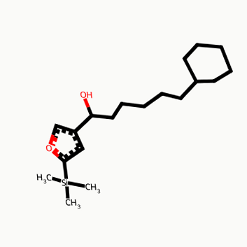 C[Si](C)(C)c1cc(C(O)CCCCCC2CCCCC2)co1